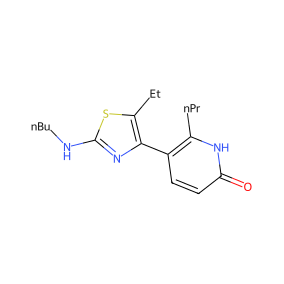 CCCCNc1nc(-c2ccc(=O)[nH]c2CCC)c(CC)s1